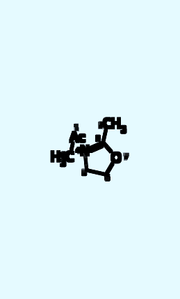 CC(C)=O.CC1=NCCO1